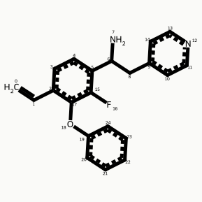 C=Cc1ccc(C(N)Cc2ccncc2)c(F)c1Oc1ccccc1